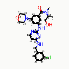 C[C@@H](CO)N(C)C(=O)c1cc(Nc2nccc(NCc3cccc(Cl)c3)n2)cc(N2CCOCC2)c1